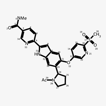 CNC(=O)c1ccc(-c2cc3cc(Oc4ccc(S(C)(=O)=O)nc4)c(C4CCCN4C(C)=O)cc3[nH]2)nc1